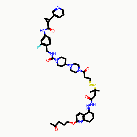 CC(=O)CCCOc1ccc2c(n1)CCC/C2=N\NC(=O)CC(C)(C)SSCCC(=O)N1CCN(C2CCN(C(=O)NCc3ccc(NC(=O)C4CC4c4cccnc4)cc3F)CC2)CC1